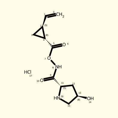 C=C[C@@H]1C[C@H]1C(=O)ONC(=O)[C@@H]1C[C@@H](O)CN1.Cl